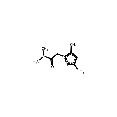 Cc1[c]c(C)n(CC(=O)N(C)C)n1